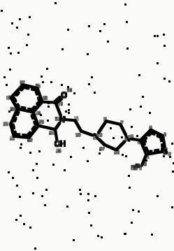 CCCc1sccc1N1CCN(CCN2C(=O)c3cccc4cccc(c34)C2O)CC1